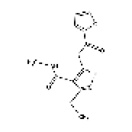 CCc1noc(CC(=O)c2ccco2)c1C(=O)NC